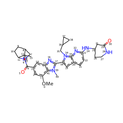 COc1cc(C(=O)N2CC3CCC2[C@@H]3C)cc2nc(-c3cc4ccc(NC5CCNC(=O)C5)nc4n3CC3CC3)n(C)c12